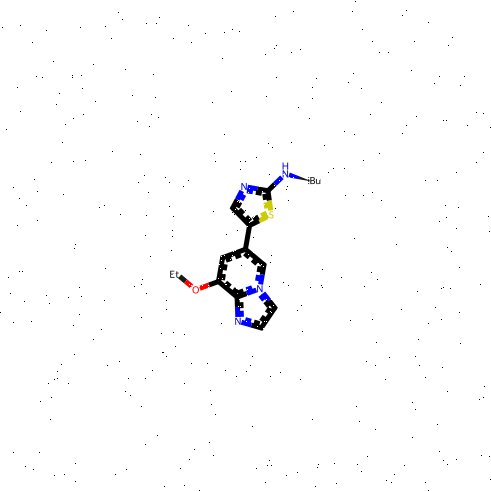 CCOc1cc(-c2cnc(N[C@H](C)CC)s2)cn2ccnc12